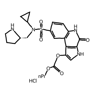 CCCOC(=O)Oc1c[nH]c2c(=O)[nH]c3ccc(S(=O)(=O)N(C[C@@H]4CCCN4)C4CC4)cc3c12.Cl